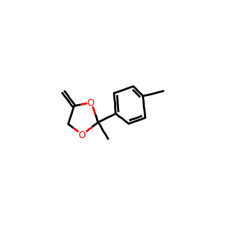 C=C1COC(C)(c2ccc(C)cc2)O1